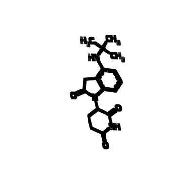 CC(C)(C)Nc1cccc2c1CC(=O)N2C1CCC(=O)NC1=O